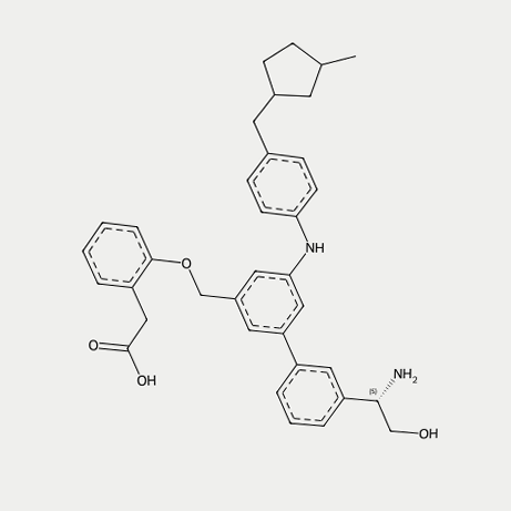 CC1CCC(Cc2ccc(Nc3cc(COc4ccccc4CC(=O)O)cc(-c4cccc([C@H](N)CO)c4)c3)cc2)C1